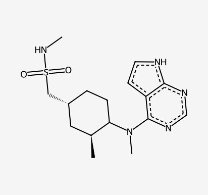 CNS(=O)(=O)C[C@@H]1CCC(N(C)c2ncnc3[nH]ccc23)[C@@H](C)C1